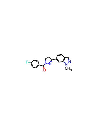 Cn1ncc2ccc(C3=NN(C(=O)c4ccc(F)cc4)CC3)cc21